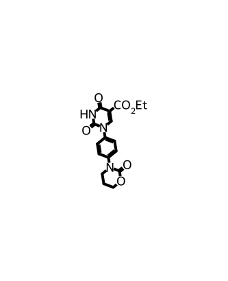 CCOC(=O)c1cn(-c2ccc(N3CCCOC3=O)cc2)c(=O)[nH]c1=O